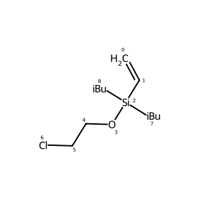 C=C[Si](OCCCl)(C(C)CC)C(C)CC